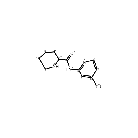 O=C(Nc1cc(C(F)(F)F)ccn1)C1CCCCN1